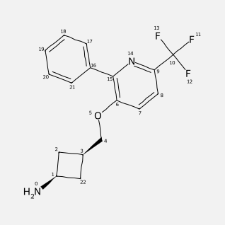 N[C@H]1C[C@@H](COc2ccc(C(F)(F)F)nc2-c2ccccc2)C1